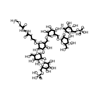 NOCC(=O)NNC(=O)CCCO[C@H]1OC(CO[C@H]2OC(CO[C@H]3OC(CO)[C@@H](O)[C@H](O)C3O[C@H]3OC(COP(=O)(O)O)[C@@H](O)[C@H](O)C3O)[C@@H](O)[C@H](O)C2O)[C@@H](O)[C@H](O[C@H]2OC(CO)[C@@H](O)[C@H](O)C2O[C@H]2OC(COP(=O)(O)O)[C@@H](O)[C@H](O)C2O)C1O